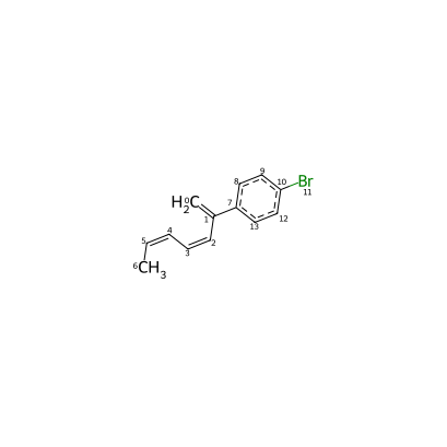 C=C(/C=C\C=C/C)c1ccc(Br)cc1